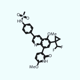 COc1ccc(-c2cc(C3(C(F)F)CC3)c(OC)c3cc(-c4ccc(NS(C)(=O)=O)cc4)cnc23)c(=O)[nH]1